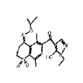 CCn1ncc(C(=O)c2cc(C)c3c(c2C)/C(=N\OC(C)C)CCS3(=O)=O)c1O